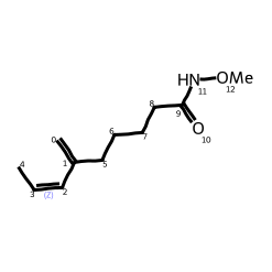 C=C(/C=C\C)CCCCC(=O)NOC